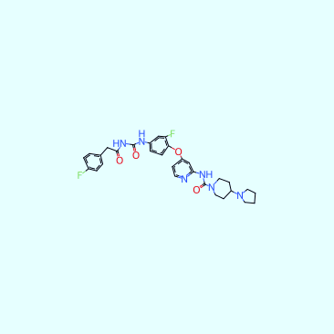 O=C(Cc1ccc(F)cc1)NC(=O)Nc1ccc(Oc2ccnc(NC(=O)N3CCC(N4CCCC4)CC3)c2)c(F)c1